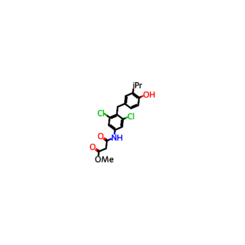 COC(=O)CC(=O)Nc1cc(Cl)c(Cc2ccc(O)c(C(C)C)c2)c(Cl)c1